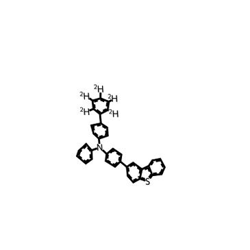 [2H]c1c([2H])c([2H])c(-c2ccc(N(c3ccccc3)c3ccc(-c4ccc5sc6ccccc6c5c4)cc3)cc2)c([2H])c1[2H]